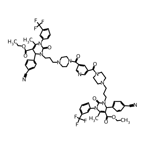 CCOC(=O)C1=C(C)N(c2cccc(C(F)(F)F)c2)C(=O)N(CCCN2CCN(C(=O)c3cncc(C(=O)N4CCN(CCCN5C(=O)N(c6cccc(C(F)(F)F)c6)C(C)=C(C(=O)OCC)C5c5ccc(C#N)cc5)CC4)c3)CC2)C1c1ccc(C#N)cc1